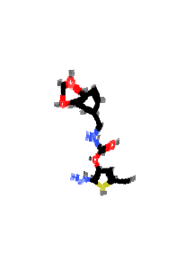 Cc1cc(OC(=O)NCc2ccc3c(c2)OCO3)c(N)s1